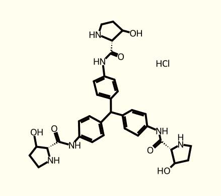 Cl.O=C(Nc1ccc(C(c2ccc(NC(=O)[C@@H]3NCCC3O)cc2)c2ccc(NC(=O)[C@@H]3NCCC3O)cc2)cc1)[C@@H]1NCCC1O